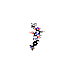 Cc1ncsc1-c1ccc([C@H](C)NC(=O)[C@@H]2C[C@@H](O)CN2C(=O)C(c2cc(OCCC=O)no2)C(C)C)cc1